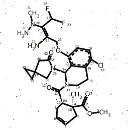 COC(=O)[C@@]1(C)CC=CC[C@H]1C(=O)N1CCc2c(Cl)ccc(OC/C(N)=C(\C(F)F)N(C)N)c2C1N1CC2(CC2)CC1=O